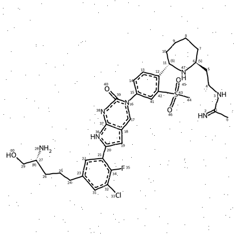 CC(=N)NCC[C@@H]1CCCC[C@@H](c2ccc(-n3cc4cc(-c5cc(CCC[C@@H](N)CO)cc(Cl)c5F)[nH]c4nc3=O)cc2S(C)(=O)=O)N1